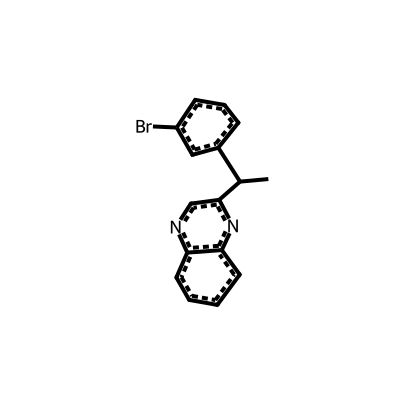 CC(c1cccc(Br)c1)c1cnc2ccccc2n1